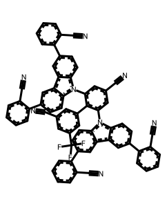 N#Cc1cc(-c2c(-n3c4ccc(-c5ccccc5C#N)cc4c4cc(-c5ccccc5C#N)ccc43)cc(C#N)cc2-n2c3ccc(-c4ccccc4C#N)cc3c3cc(-c4ccccc4C#N)ccc32)cc(C(F)(F)F)c1